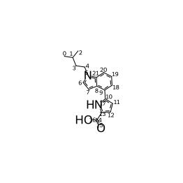 CC(C)CCn1ccc2c(-c3ccc(C(=O)O)[nH]3)cccc21